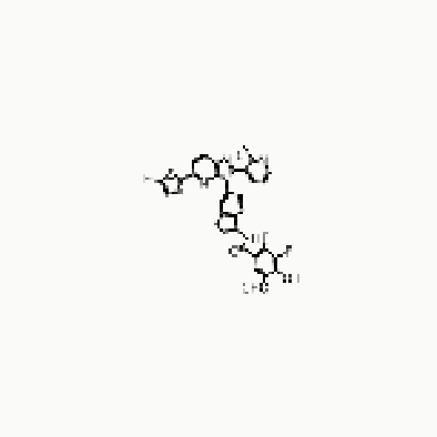 Nc1ncccc1-c1nc2ccc(-c3ncc(F)s3)nc2n1-c1ccc2c(c1)CC[C@@H]2NC(=O)c1cc(C=O)c(O)c(F)c1F